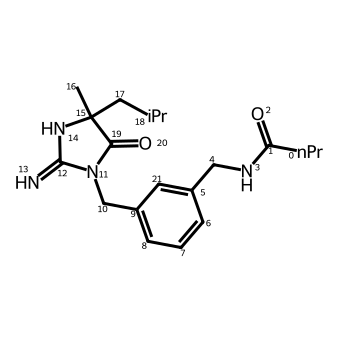 CCCC(=O)NCc1cccc(CN2C(=N)NC(C)(CC(C)C)C2=O)c1